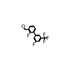 O=Cc1cccc(-c2cc(F)cc(C(F)(F)F)c2)c1F